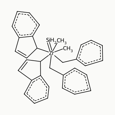 [CH3][Zr]([CH3])(=[SiH2])([CH2]c1ccccc1)([CH2]c1ccccc1)([CH]1C=Cc2ccccc21)[CH]1C=Cc2ccccc21